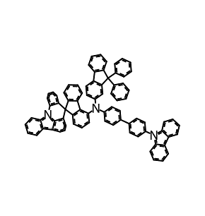 c1ccc(C2(c3ccccc3)c3ccccc3-c3ccc(N(c4ccc(-c5ccc(-n6c7ccccc7c7ccccc76)cc5)cc4)c4cccc5c4-c4ccccc4C54c5ccccc5-n5c6ccccc6c6cccc4c65)cc32)cc1